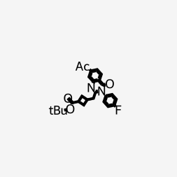 CC(=O)c1ccc2c(=O)n(-c3ccc(F)cc3)c(CC3CC(C(=O)OC(C)(C)C)C3)nc2c1